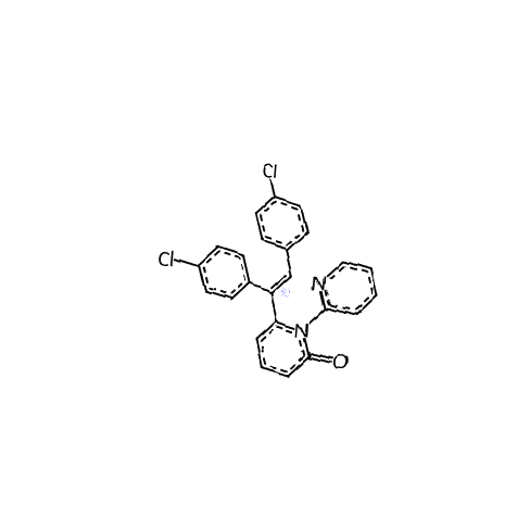 O=c1cccc(/C(=C/c2ccc(Cl)cc2)c2ccc(Cl)cc2)n1-c1ccccn1